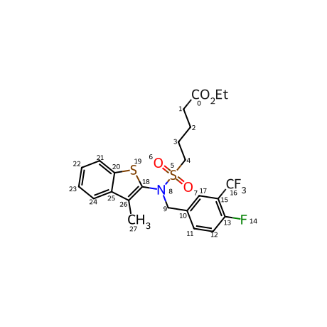 CCOC(=O)CCCCS(=O)(=O)N(Cc1ccc(F)c(C(F)(F)F)c1)c1sc2ccccc2c1C